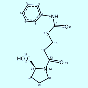 O=C(Nc1ccccc1)SCCC(=O)N1CCC[C@H]1C(=O)O